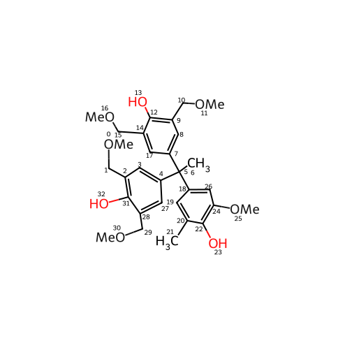 COCc1cc(C(C)(c2cc(COC)c(O)c(COC)c2)c2cc(C)c(O)c(OC)c2)cc(COC)c1O